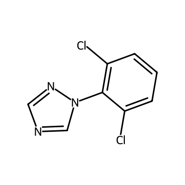 Clc1cccc(Cl)c1-n1cncn1